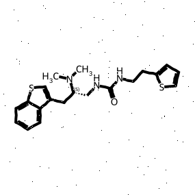 CN(C)[C@H](CNC(=O)NCCc1cccs1)Cc1csc2ccccc12